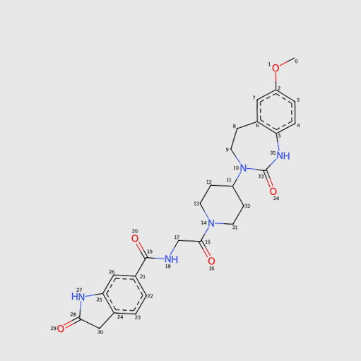 COc1ccc2c(c1)CCN(C1CCN(C(=O)CNC(=O)c3ccc4c(c3)NC(=O)C4)CC1)C(=O)N2